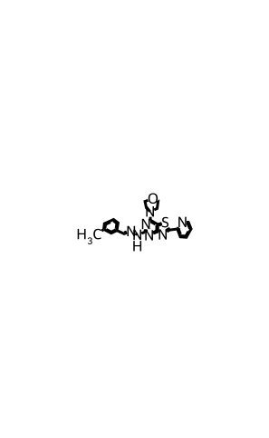 Cc1cccc(/C=N/Nc2nc(N3CCOCC3)c3sc(-c4ccccn4)nc3n2)c1